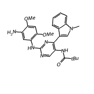 COc1cc(OC)c(Nc2ncc(NC(=O)C(C)(C)C)c(-c3cn(C)c4ccccc34)n2)cc1N